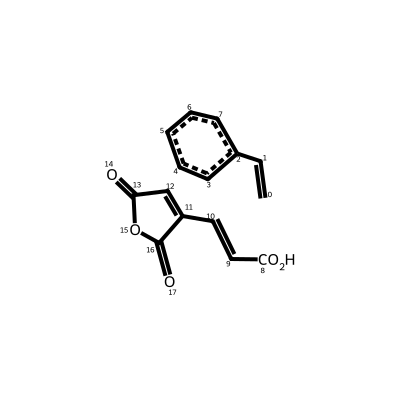 C=Cc1ccccc1.O=C(O)C=CC1=CC(=O)OC1=O